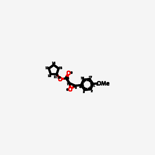 COc1ccc(C2OC2C(=O)OC2CCCC2)cc1